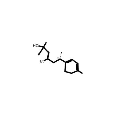 CCC(C[C@H](C)C1=CC=C(C)CC1)CC(C)(C)O